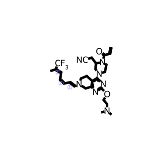 C=CC(=O)N1CCN(c2nc(OCCN(C)C)nc3c2CCN(/C=C/C=C\C=C(/C)C(F)(F)F)C3)CC1CC#N